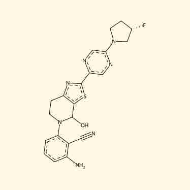 N#Cc1c(N)cccc1N1CCc2nc(-c3cnc(N4CC[C@H](F)C4)cn3)sc2C1O